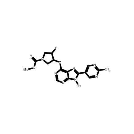 CCn1c(-c2cnc(C)nc2)nc2c(OC3CN(C(=O)OC(C)(C)C)CC3F)ncnc21